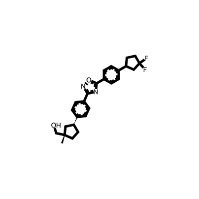 C[C@]1(CO)CC[C@@H](c2ccc(-c3noc(-c4ccc(C5CCC(F)(F)C5)cc4)n3)cc2)C1